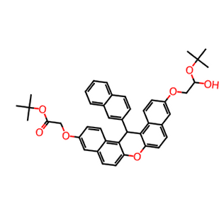 CC(C)(C)OC(=O)COc1ccc2c3c(ccc2c1)Oc1ccc2cc(OCC(O)OC(C)(C)C)ccc2c1C3c1ccc2ccccc2c1